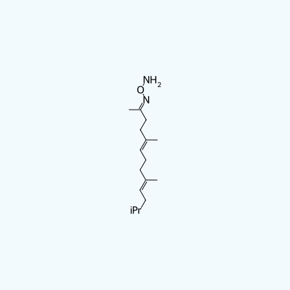 C/C(=C\CC(C)C)CC/C=C(\C)CC/C(C)=N/ON